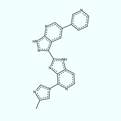 Cc1cn(-c2nccc3[nH]c(-c4n[nH]c5ncc(-c6cccnc6)cc45)nc23)cn1